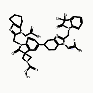 CCC1(CC)C(=O)N(Cc2nc3c(n2/C=C(\F)C(C)C)CCC(c2ccc4c(c2)C2(CN(C(=O)OC(C)C)C2)C(=O)N4Cc2nc4c(n2CC(=O)C(C)C)CCCC4)C3)c2ccccc21